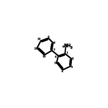 Nc1ccc[c]c1-c1ccccc1